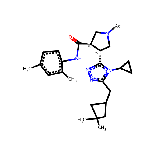 CC(=O)N1C[C@H](C(=O)Nc2ccc(C)cc2C)[C@@H](c2nnc(CC3CC(C)(C)C3)n2C2CC2)C1